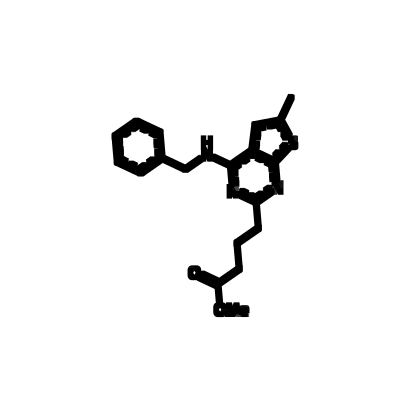 COC(=O)CCCc1nc(NCc2ccccc2)c2cc(C)sc2n1